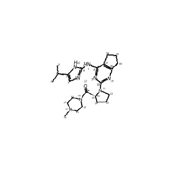 CC(C)c1cnc(Nc2nc(N3CCC[C@H]3C(=O)N3CCN(C)CC3)nc3c2CCC3)[nH]1